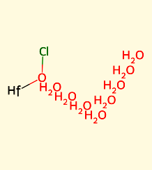 Cl[O][Hf].O.O.O.O.O.O.O.O